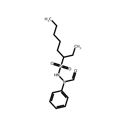 CCCCCC(CC)S(=O)(=O)NN([C]=O)c1ccccc1